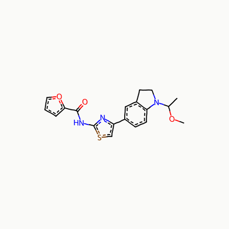 COC(C)N1CCc2cc(-c3csc(NC(=O)c4ccco4)n3)ccc21